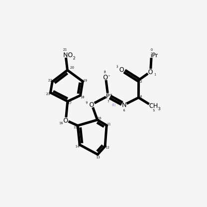 CC(C)OC(=O)C(C)/N=[P+](\[O-])Oc1ccccc1Oc1ccc([N+](=O)[O-])cc1